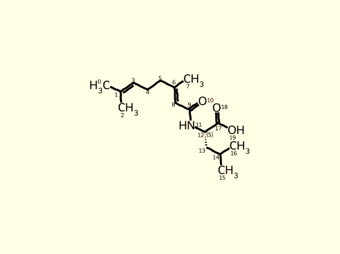 CC(C)=CCCC(C)=CC(=O)N[C@@H](CC(C)C)C(=O)O